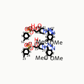 COc1cc2ncnc(N3CCC(O)(CCOS(=O)(=O)c4ccc(C)cc4)CC3)c2cc1OC.COc1cc2ncnc(N3CCC(O)(CCOS(=O)(=O)c4ccc(C)cc4)CC3)c2cc1OC.O